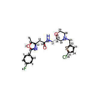 Cc1oc(-c2ccc(F)cc2)nc1CC(=O)NC[C@H]1CN(Cc2ccc(Cl)s2)CCO1